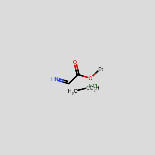 CC(=O)O.CCOC(=O)C=N.Cl